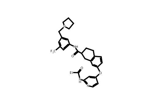 CCC(=O)Nc1cc(Oc2ccc3c(c2)CC(C(=O)Nc2cc(CN4CCCC4)cc(C(F)(F)F)c2)CC3)ccn1